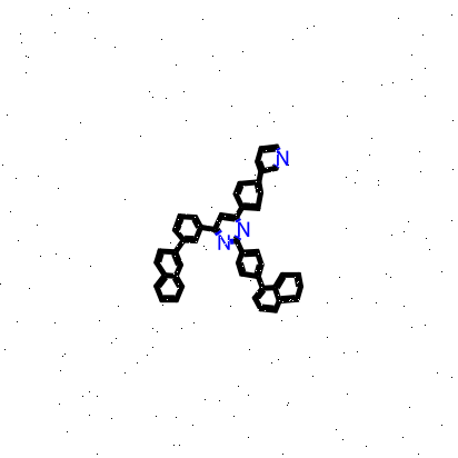 c1cncc(-c2ccc(-c3cc(-c4cccc(-c5ccc6ccccc6c5)c4)nc(-c4ccc(-c5cccc6ccccc56)cc4)n3)cc2)c1